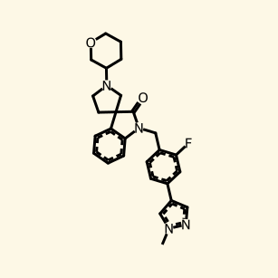 Cn1cc(-c2ccc(CN3C(=O)C4(CCN(C5CCCOC5)C4)c4ccccc43)c(F)c2)cn1